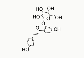 O=C(C=Cc1ccc(O)cc1)c1ccc(O)cc1OC1OC(CO)C(O)C(O)C1O